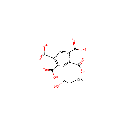 CCCO.O=C(O)c1cc(C(=O)O)c(C(=O)O)cc1C(=O)O